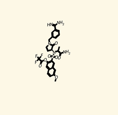 COc1ccc2cc(OC(=O)C(F)(F)F)c(S(=O)(=O)N(C(C)C(N)=O)[C@H]3CCN(Cc4cccc(C(=N)N)c4)C3=O)cc2c1